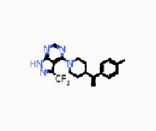 C=C(c1ccc(C)cc1)C1CCN(c2ncnc3[nH]nc(C(F)(F)F)c23)CC1